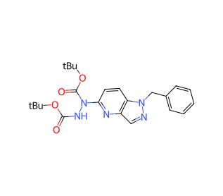 CC(C)(C)OC(=O)NN(C(=O)OC(C)(C)C)c1ccc2c(cnn2Cc2ccccc2)n1